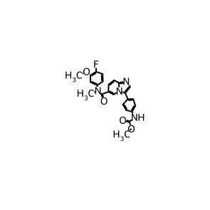 COC(=O)Nc1ccc(-c2cnc3ccc(C(=O)N(C)c4ccc(F)c(OC)c4)cn23)cc1